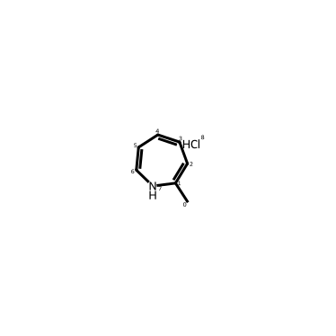 CC1=CC=CC=CN1.Cl